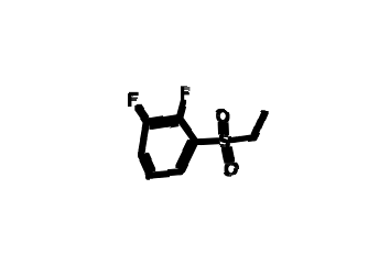 CCS(=O)(=O)c1cccc(F)c1F